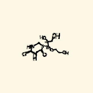 O=C1NCN([C@H](OCCO)[C@@H](O)CO)C(=O)N1